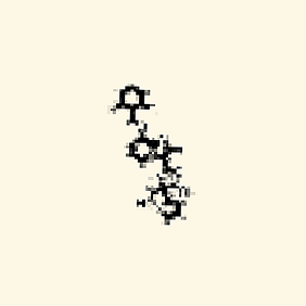 Cc1nc2c(OCc3c(F)cccc3F)cccn2c1C(=O)NC(CO)(CO)c1cccs1